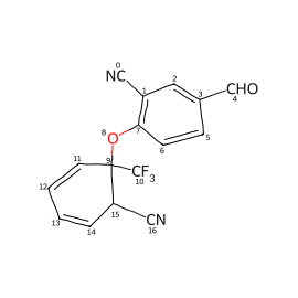 N#Cc1cc(C=O)ccc1OC1(C(F)(F)F)C=CC=CC1C#N